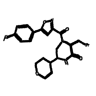 CC(C)CC1C(=O)NC(C2CCOCC2)CN1C(=O)c1cc(-c2ccc(F)cc2)on1